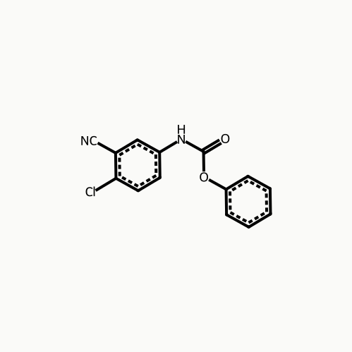 N#Cc1cc(NC(=O)Oc2ccccc2)ccc1Cl